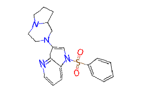 O=S(=O)(c1ccccc1)n1cc(N2CCN3CCCC3C2)c2ncccc21